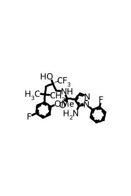 COc1ccc(F)cc1C(C)(C)C[C@@](O)(CNC(=O)c1cnn(-c2ccccc2F)c1N)C(F)(F)F